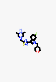 CC1CN(Cc2nc(-c3cn(CC4CCOCC4)c4cc(F)ccc34)ns2)CC(C)N1